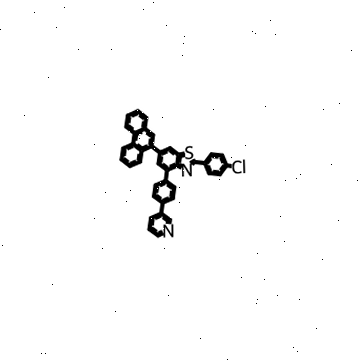 Clc1ccc(-c2nc3c(-c4ccc(-c5cccnc5)cc4)cc(-c4cc5ccccc5c5ccccc45)cc3s2)cc1